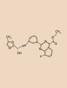 CCOC(=O)c1nc(-c2cccc(C#C[C@H](O)c3ncc(C)o3)c2)nc2c(F)cccc12